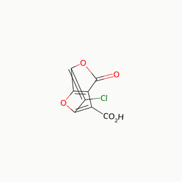 O=C(O)c1c2c3oc1c(Cl)c3OC2=O